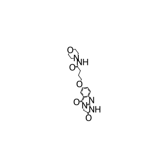 O=C1Cn2c(nc3ccc(OCCCC(=O)NN4CCOCC4)cc3c2=O)N1